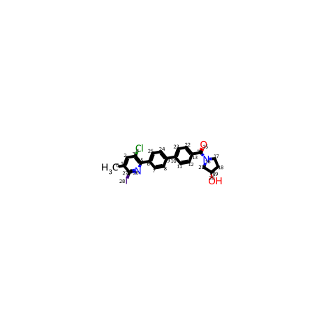 Cc1cc(Cl)c(-c2ccc(-c3ccc(C(=O)N4CC[C@@H](O)C4)cc3)cc2)nc1I